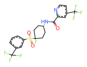 O=C(N[C@H]1CC[C@@](F)(S(=O)(=O)c2cccc(C(F)(F)F)c2)CC1)c1cc(C(F)(F)F)ccn1